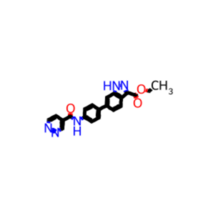 CCOC(=O)c1n[nH]c2cc(-c3ccc(NC(=O)c4ccnnc4)cc3)ccc12